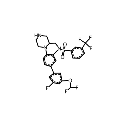 O=S(=O)(c1cccc(C(F)(F)F)c1)N1CC2CNCCN2c2ccc(-c3cc(F)cc(OC(F)F)c3)cc21